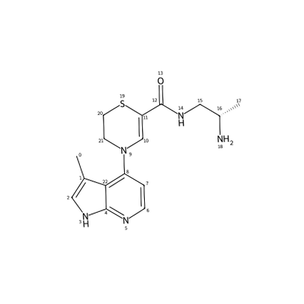 Cc1c[nH]c2nccc(N3C=C(C(=O)NC[C@H](C)N)SCC3)c12